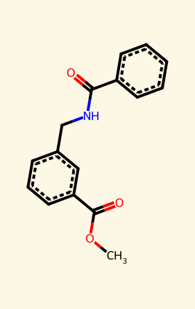 COC(=O)c1cccc(CNC(=O)c2ccccc2)c1